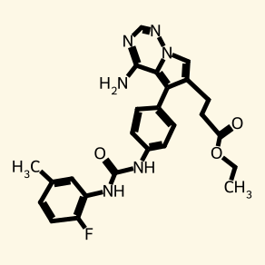 CCOC(=O)CCc1cn2ncnc(N)c2c1-c1ccc(NC(=O)Nc2cc(C)ccc2F)cc1